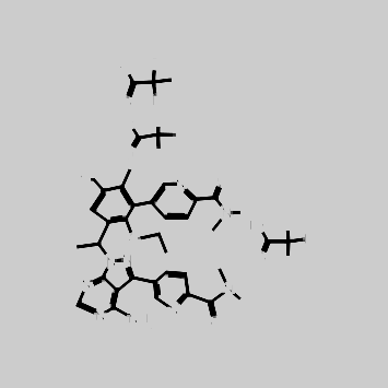 CCOc1c(C(C)n2nc(-c3ccc(C(=O)N(C)C)nc3)c3c(N)ncnc32)cc(Cl)c(C)c1-c1ccc(C(=O)N(C)C)nc1.O=C(O)C(F)(F)F.O=C(O)C(F)(F)F.O=C(O)C(F)(F)F